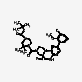 COc1c(F)cccc1-c1cc2c(nn1)NCC1(CF)CN(C(=O)N3CCN(C(=O)OC(C)(C)C)CC3(C)C)CCN21